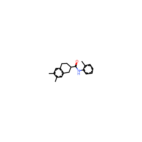 Cc1cc2c(cc1C)CC(C(=O)Nc1ccccc1C)CC2